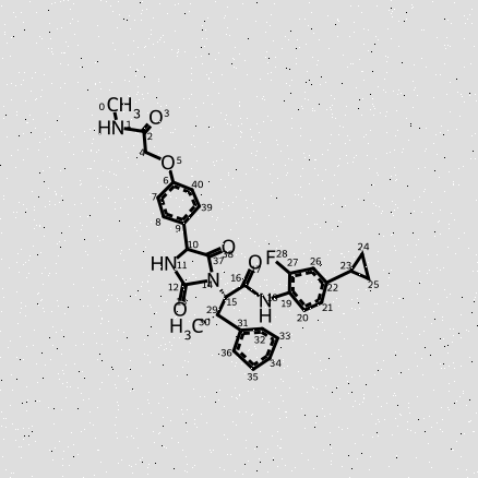 CNC(=O)COc1ccc(C2NC(=O)N([C@H](C(=O)Nc3ccc(C4CC4)cc3F)[C@@H](C)c3ccccc3)C2=O)cc1